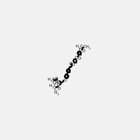 C=C(C)C(=O)OCC(CCOc1ccc(-c2ccc(/C=C/C(=O)O[C@H]3CC[C@H](OC(=O)c4ccc(OC(=O)C(=C)C)cc4)CC3)cc2)cc1)COC(=O)C(=C)C